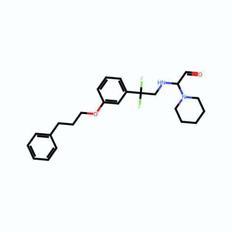 O=CC(NCC(F)(F)c1cccc(OCCCc2ccccc2)c1)N1CCCCC1